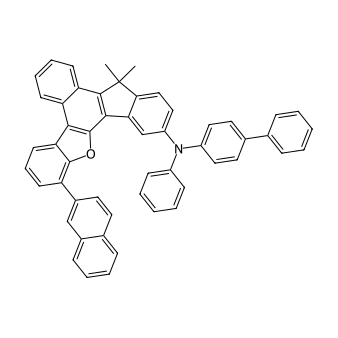 CC1(C)c2ccc(N(c3ccccc3)c3ccc(-c4ccccc4)cc3)cc2-c2c1c1ccccc1c1c2oc2c(-c3ccc4ccccc4c3)cccc21